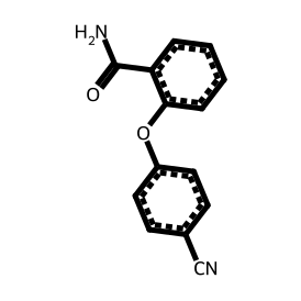 N#Cc1ccc(Oc2ccccc2C(N)=O)cc1